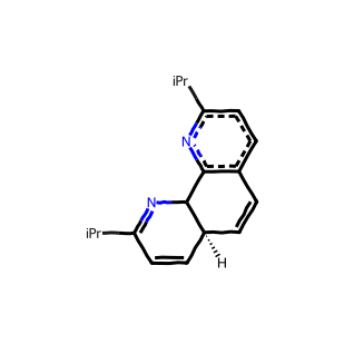 CC(C)C1=NC2c3nc(C(C)C)ccc3C=C[C@H]2C=C1